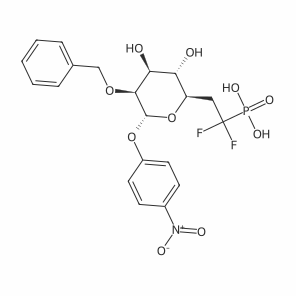 O=[N+]([O-])c1ccc(O[C@H]2O[C@H](CC(F)(F)P(=O)(O)O)[C@@H](O)[C@H](O)[C@@H]2OCc2ccccc2)cc1